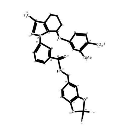 COc1cc(OC2CCCc3c(C(F)(F)F)nn(-c4cccc(C(=O)NCc5ccc6c(c5)OC(F)(F)O6)c4)c32)ccc1C(=O)O